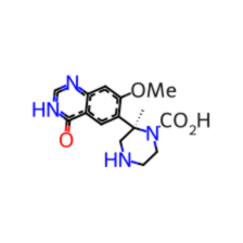 COc1cc2nc[nH]c(=O)c2cc1[C@]1(C)CNCCN1C(=O)O